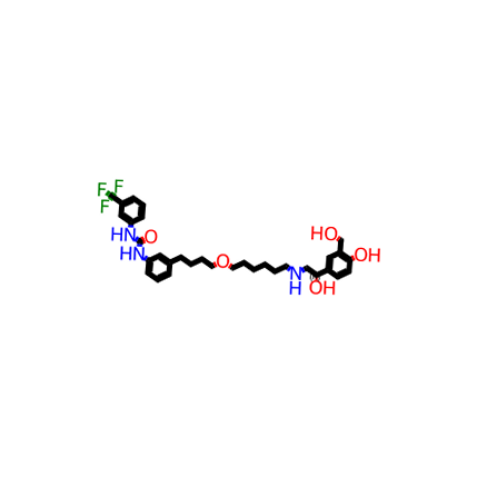 O=C(Nc1cccc(CCCCOCCCCCCNC[C@H](O)c2ccc(O)c(CO)c2)c1)Nc1cccc(C(F)(F)F)c1